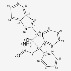 NC(=O)CC(C(=O)Nc1nc2ccccc2s1)(c1ccccc1)c1ccccc1